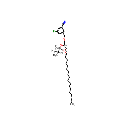 CCCCCCCCCCCCCCCCCCOC[C@H](COCc1cc(F)cc(C#N)c1)O[Si](C)(C)C(C)(C)C